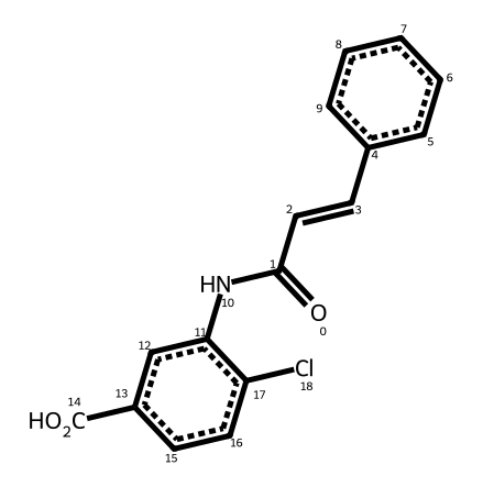 O=C(C=Cc1ccccc1)Nc1cc(C(=O)O)ccc1Cl